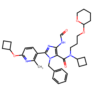 Cc1nc(OC2CCC2)ccc1-c1nc(NC=O)c(C(=O)N(CCCOC2CCCCO2)C2CCC2)n1Cc1ccccc1